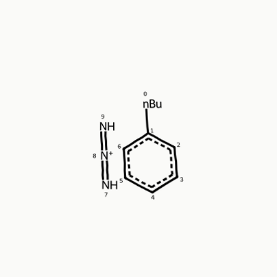 CCCCc1ccccc1.N=[N+]=N